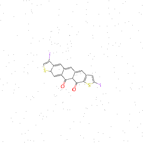 O=C1C2=CC3SC=C(I)C3=CC2=CC2=Cc3cc(I)sc3C(=O)C12